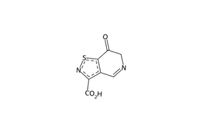 O=C(O)c1nsc2c1C=NCC2=O